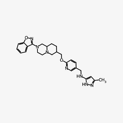 Cc1cc(NCc2ccc(OCC3CCC4CN(c5noc6ccccc56)CCN4C3)nc2)[nH]n1